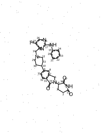 O=C1CCC(N2Cc3cc(C4CCN(Cc5nc(Nc6ccccc6)ncc5F)CC4)ccc3C2=O)C(=O)N1